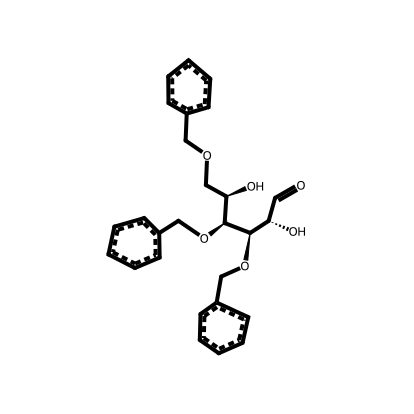 O=C[C@H](O)[C@@H](OCc1ccccc1)[C@@H](OCc1ccccc1)[C@H](O)COCc1ccccc1